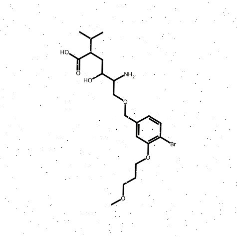 COCCCOc1cc(COCC(N)C(O)CC(C(=O)O)C(C)C)ccc1Br